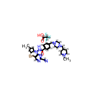 CC1CCC(N(NC(=O)c2ccc(CN3CCN(CC4CCN(C)CC4)CC3)cc2)c2nc(C#N)ncc2Br)C1.O=C(O)C(F)(F)F